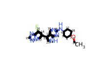 CCO[C@H]1CC[C@@H](Nc2ncc3c(-c4cc(F)c5ncnn5c4)c[nH]c3n2)CC1